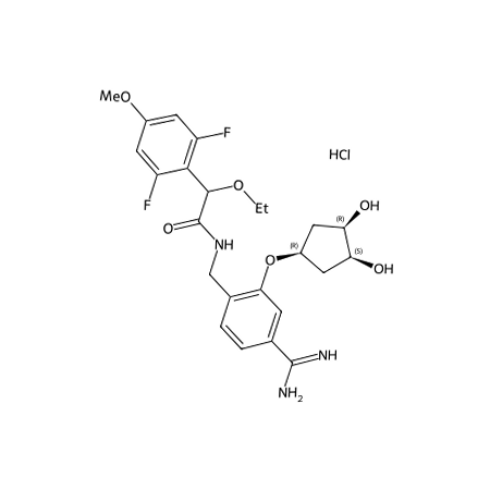 CCOC(C(=O)NCc1ccc(C(=N)N)cc1O[C@H]1C[C@@H](O)[C@@H](O)C1)c1c(F)cc(OC)cc1F.Cl